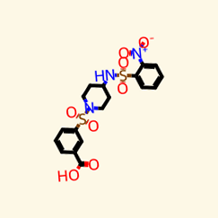 O=C(O)c1cccc(S(=O)(=O)N2CCC(NS(=O)(=O)c3ccccc3[N+](=O)[O-])CC2)c1